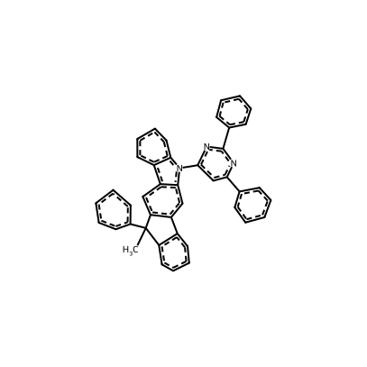 CC1(c2ccccc2)c2ccccc2-c2cc3c(cc21)c1ccccc1n3-c1cc(-c2ccccc2)nc(-c2ccccc2)n1